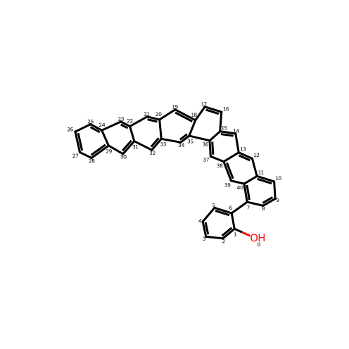 Oc1ccccc1-c1cccc2cc3cc4ccc5cc6cc7cc8ccccc8cc7cc6cc5c4cc3cc12